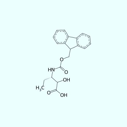 CC[C@H](NC(=O)OCC1c2ccccc2-c2ccccc21)C(O)C(=O)O